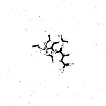 CCO.CCO[Si](OCC)(OCC)C(CC)NC(=O)C(C)CC(=O)O